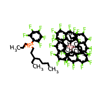 CCCCC(CC)CC[PH+](CCC)c1c(F)c(F)c(F)c(F)c1F.CCc1c(F)c(F)c(F)c2c(F)c(F)c(F)c([B-](c3c(F)c(F)c(F)c4c(F)c(F)c(F)c(CC)c34)(c3c(F)c(F)c(F)c4c(F)c(F)c(F)c(CC)c34)c3c(F)c(F)c(F)c4c(F)c(F)c(F)c(CC)c34)c12